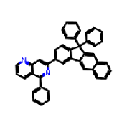 c1ccc(-c2nc(-c3ccc4c(c3)-c3cc5ccccc5cc3C4(c3ccccc3)c3ccccc3)cc3ncccc23)cc1